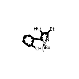 CCCCn1nc(CC)c(O)c1-c1ccccc1C